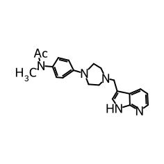 CC(=O)N(C)c1ccc(N2CCN(Cc3c[nH]c4ncccc34)CC2)cc1